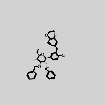 CC[C@H]1O[C@@H](c2ccc(Cl)c(Cc3ccc4c(c3)OCCO4)c2)[C@H](OCc2ccccc2)[C@@H](OCc2ccccc2)[C@@H]1C